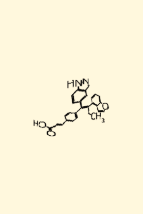 CCC(=C(c1ccc(C=CC(=O)O)cc1)c1ccc2[nH]ncc2c1)c1cccc2occc12